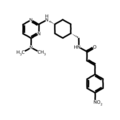 CN(C)c1ccnc(N[C@H]2CC[C@@H](CNC(=O)C=Cc3ccc([N+](=O)[O-])cc3)CC2)n1